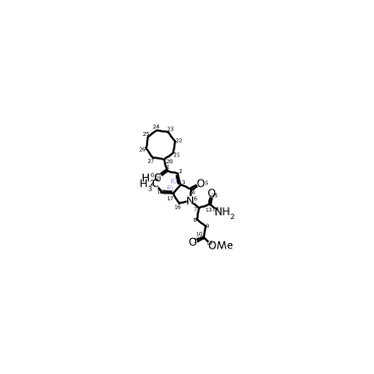 C=C(/C=C1/C(=O)N(C(CCC(=O)OC)C(N)=O)C/C1=C/C)C1CCCCCCC1